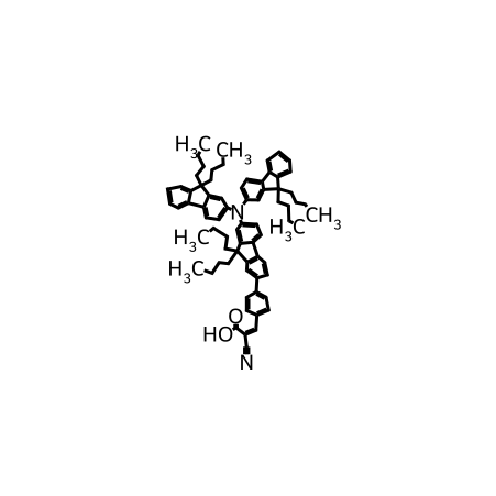 CCCCC1(CCCC)c2ccccc2-c2ccc(N(c3ccc4c(c3)C(CCCC)(CCCC)c3ccccc3-4)c3ccc4c(c3)C(CCCC)(CCCC)c3cc(-c5ccc(C=C(C#N)C(=O)O)cc5)ccc3-4)cc21